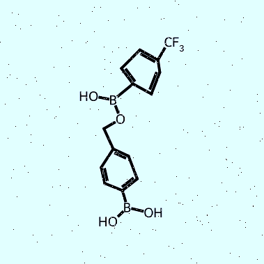 OB(O)c1ccc(COB(O)c2ccc(C(F)(F)F)cc2)cc1